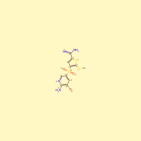 CSc1sc(C(=N)N)cc1S(=O)(=O)c1cnc(N)c(Br)c1